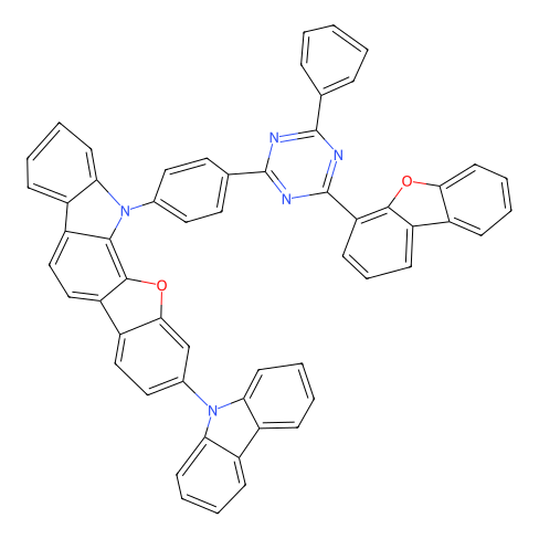 c1ccc(-c2nc(-c3ccc(-n4c5ccccc5c5ccc6c7ccc(-n8c9ccccc9c9ccccc98)cc7oc6c54)cc3)nc(-c3cccc4c3oc3ccccc34)n2)cc1